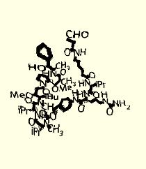 CCC(C)C(C(CC(=O)N1CCC[C@H]1C(OC)C(C)C(=O)NC(C)C(O)c1ccccc1)OC)N(C)C(=O)[C@@H](NC(=O)[C@H](C(C)C)N(C)C(=O)OCC1=CC=C(NC(=O)[C@H](CCCNC(N)=O)NC(=O)C(NC(=O)CCCCCNC(=O)CCC=O)C(C)C)CC1)C(C)C